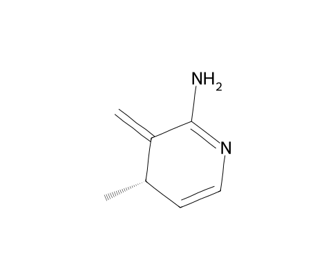 C=C1C(N)=NC=C[C@@H]1C